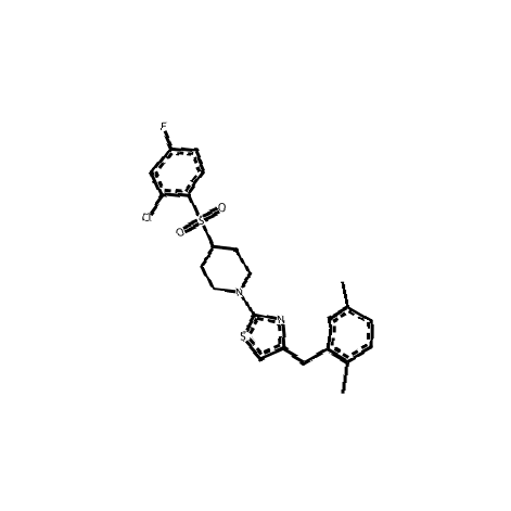 Cc1ccc(C)c(Cc2csc(N3CCC(S(=O)(=O)c4ccc(F)cc4Cl)CC3)n2)c1